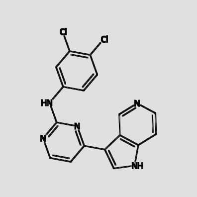 Clc1ccc(Nc2nccc(-c3c[nH]c4ccncc34)n2)cc1Cl